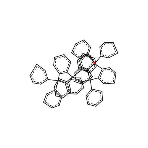 c1ccc(C(OC(c2ccccc2)(c2ccccc2)c2ccccc2C(c2ccccc2)(c2ccccc2)c2ccccc2)(c2ccccc2)c2ccccc2C(c2ccccc2)(c2ccccc2)c2ccccc2)cc1